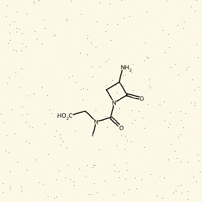 CN(CC(=O)O)C(=O)N1CC(N)C1=O